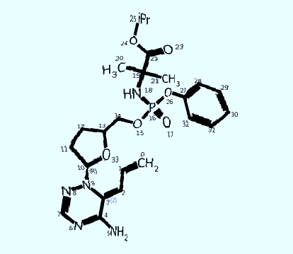 C=C/C=C1/C(N)=NC=NN1[C@H]1CCC(COP(=O)(NC(C)(C)C(=O)OC(C)C)Oc2ccccc2)O1